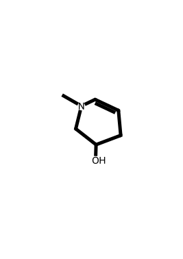 CN1C=CCC(O)C1